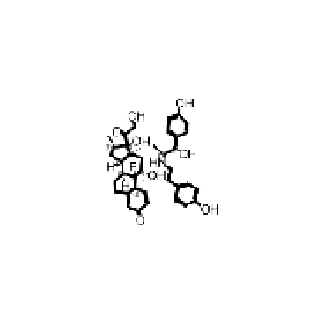 C[C@@H]1C[C@H]2[C@@H]3CCC4=CC(=O)C=C[C@]4(C)[C@@]3(F)[C@@H](O)C[C@]2(C)[C@@]1(O)C(=O)CO.C[C@H](NCCc1ccc(O)cc1)[C@H](O)c1ccc(O)cc1